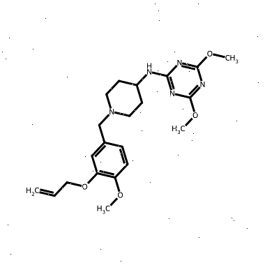 C=CCOc1cc(CN2CCC(Nc3nc(OC)nc(OC)n3)CC2)ccc1OC